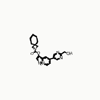 O=C(Oc1cnn2ccc(-c3cnc(CO)nc3)cc12)N1CC2(CCCCC2)C1